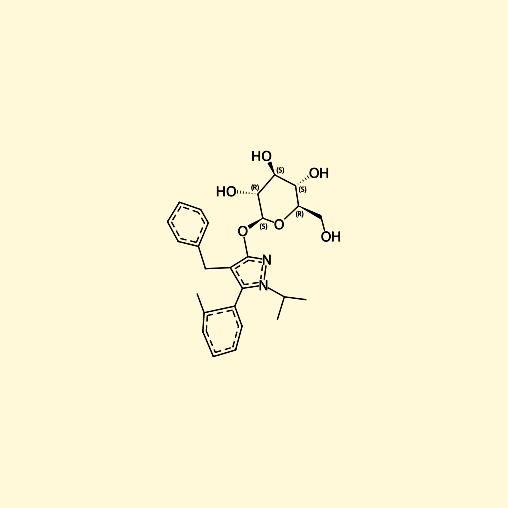 Cc1ccccc1-c1c(Cc2ccccc2)c(O[C@@H]2O[C@H](CO)[C@@H](O)[C@H](O)[C@H]2O)nn1C(C)C